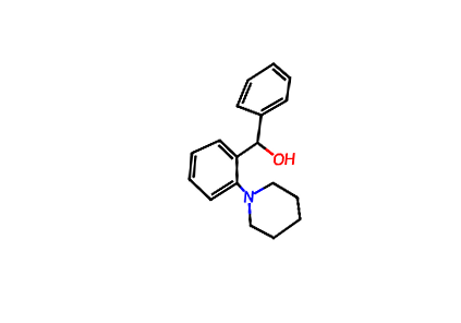 OC(c1ccccc1)c1ccccc1N1CCCCC1